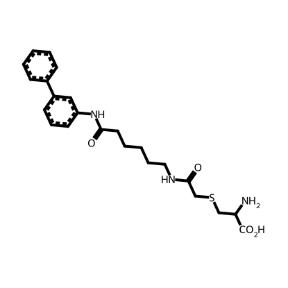 NC(CSCC(=O)NCCCCCC(=O)Nc1cccc(-c2ccccc2)c1)C(=O)O